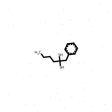 [CH2]CCCC(S)(S)Cc1ccccc1